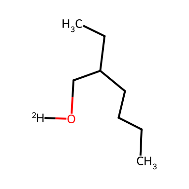 [2H]OCC(CC)CCCC